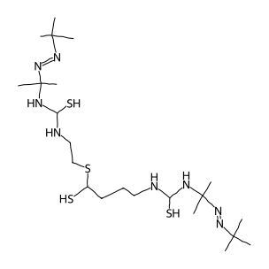 CC(C)(C)N=NC(C)(C)NC(S)NCCCC(S)SCCNC(S)NC(C)(C)N=NC(C)(C)C